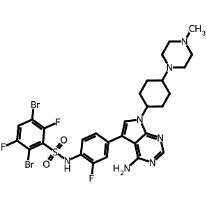 CN1CCN(C2CCC(n3cc(-c4ccc(NS(=O)(=O)c5c(F)c(Br)cc(F)c5Br)c(F)c4)c4c(N)ncnc43)CC2)CC1